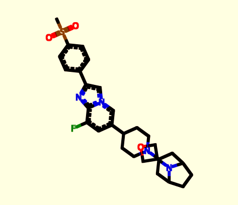 CS(=O)(=O)c1ccc(-c2cn3cc(C4CCN(C5CC6CCC(C5)N6C5COC5)CC4)cc(F)c3n2)cc1